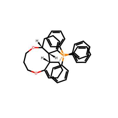 C1=C2OCCCO[C@@H]3CCC=C(P(c4ccccc4)c4ccccc4)[C@@H]3[C@@H]2[C@H](P(c2ccccc2)c2ccccc2)CC1